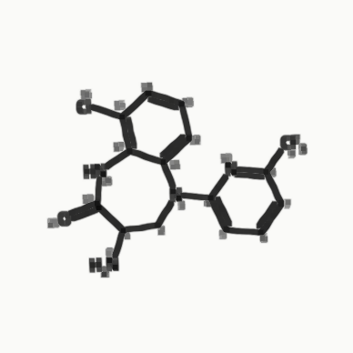 NC1CN(c2cccc(C(F)(F)F)n2)c2cccc(Cl)c2NC1=O